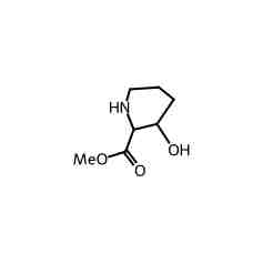 COC(=O)C1NCCCC1O